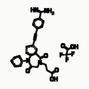 N=C(N)c1ccc(C#Cc2ccc3c(c2)C(=O)N(CCC(=O)O)CC(=O)N3c2ccccc2)cc1.O=C(O)C(F)(F)F